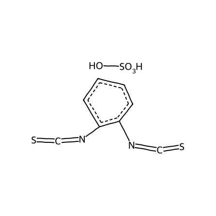 O=S(=O)(O)O.S=C=Nc1ccccc1N=C=S